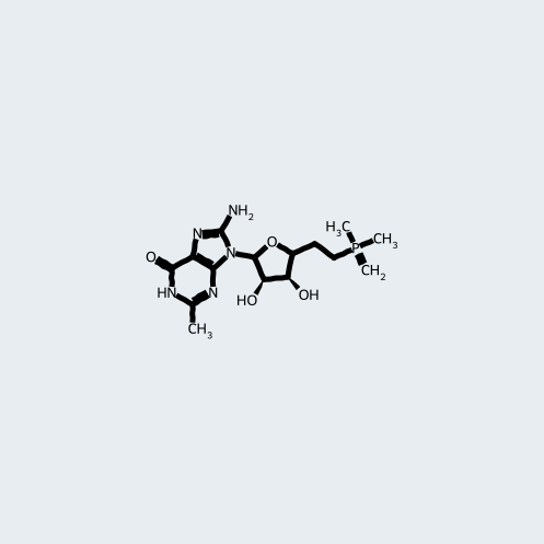 C=P(C)(C)CCC1OC(n2c(N)nc3c(=O)[nH]c(C)nc32)[C@H](O)[C@@H]1O